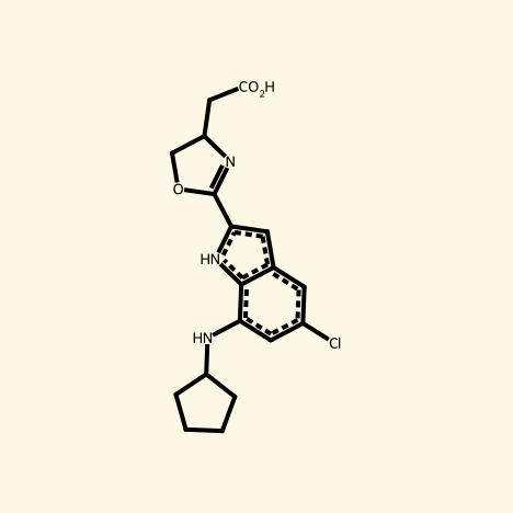 O=C(O)CC1COC(c2cc3cc(Cl)cc(NC4CCCC4)c3[nH]2)=N1